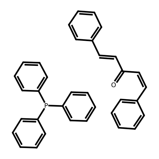 O=C(/C=C\c1ccccc1)/C=C/c1ccccc1.c1ccc(P(c2ccccc2)c2ccccc2)cc1